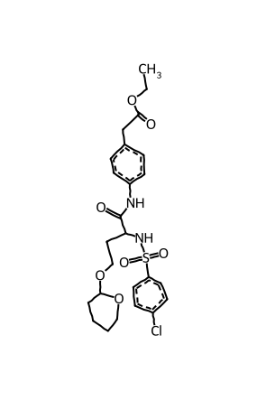 CCOC(=O)Cc1ccc(NC(=O)C(CCOC2CCCCO2)NS(=O)(=O)c2ccc(Cl)cc2)cc1